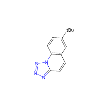 CC(C)(C)c1ccc2c(ccc3nnnn32)c1